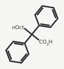 CCCCCCCCC(C(=O)O)(c1ccccc1)c1ccccc1